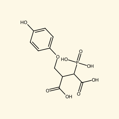 O=C(O)C(COc1ccc(O)cc1)C(C(=O)O)P(=O)(O)O